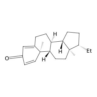 CC[C@H]1CC[C@H]2[C@@H]3CCC4=CC(=O)C=C[C@]4(C)[C@H]3CC[C@]12C